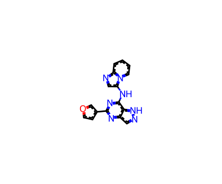 c1ccn2c(Nc3nc(-c4ccoc4)nc4cn[nH]c34)cnc2c1